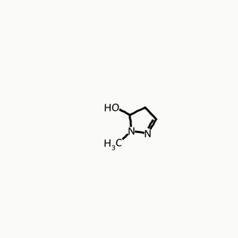 CN1N=CCC1O